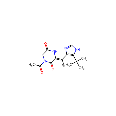 [2H]C(=C1NC(=O)CN(C(C)=O)C1=O)c1nc[nH]c1C(C)(C)C